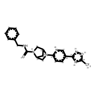 O=C(NCc1ccccc1)N1CC2CC1CN2c1ccc(-c2noc(C(F)(F)F)n2)cn1